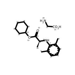 Cc1cccc(C)c1N[C@@H](C)C(=O)OC1CCCCC1.NCC(=O)O